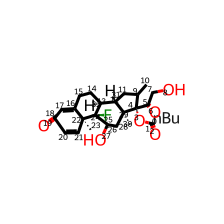 CCCCC(=O)O[C@@]1(C(=O)CO)C(C)C[C@H]2[C@@H]3CCC4=CC(=O)C=C[C@]4(C)[C@@]3(F)C(O)C[C@@]21C